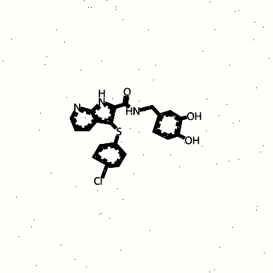 O=C(NCc1ccc(O)c(O)c1)c1[nH]c2ncccc2c1Sc1ccc(Cl)cc1